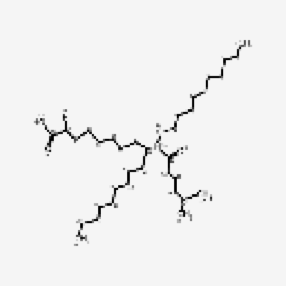 CCCCCCCCCCON(C(=O)CCCN(C)C)C(CCCCCCCCC)CCCCCCC(F)C(=O)O